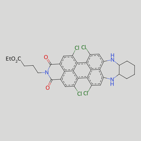 CCOC(=O)CCCN1C(=O)c2cc(Cl)c3c4c(Cl)cc5c6c(cc(Cl)c(c7c(Cl)cc(c2c37)C1=O)c64)NC1CCCCC1N5